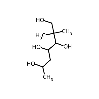 CC(O)CC(O)C(O)C(C)(C)CO